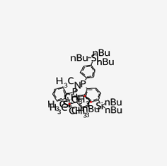 CCCC[Si](CCCC)(CCCC)c1ccc(P(c2ccc([Si](CCCC)(CCCC)CCCC)cc2)N(C)P(c2ccccc2[Si](C)(C)C)c2ccccc2[Si](C)(C)C)cc1